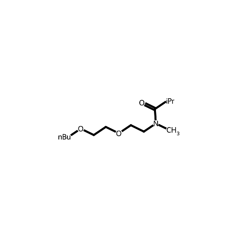 CCCCOCCOCCN(C)C(=O)C(C)C